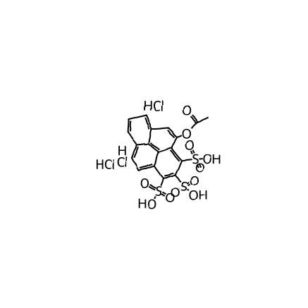 CC(=O)Oc1cc2cccc3ccc4c(S(=O)(=O)O)c(S(=O)(=O)O)c(S(=O)(=O)O)c1c4c32.Cl.Cl.Cl